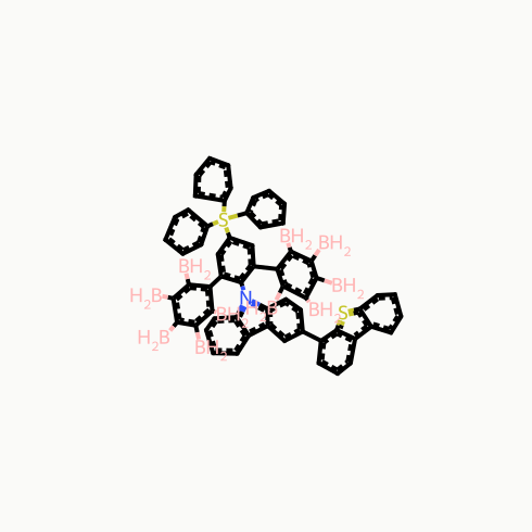 Bc1c(B)c(B)c(-c2cc(S(c3ccccc3)(c3ccccc3)c3ccccc3)cc(-c3c(B)c(B)c(B)c(B)c3B)c2-n2c3ccccc3c3cc(-c4cccc5c4sc4ccccc45)ccc32)c(B)c1B